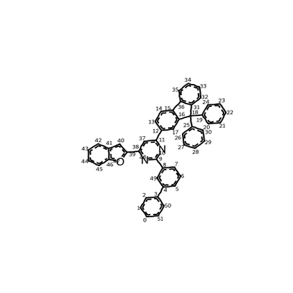 c1ccc(-c2cccc(-c3nc(-c4ccc5c(c4)C(c4ccccc4)(c4ccccc4)c4ccccc4-5)cc(-c4cc5ccccc5o4)n3)c2)cc1